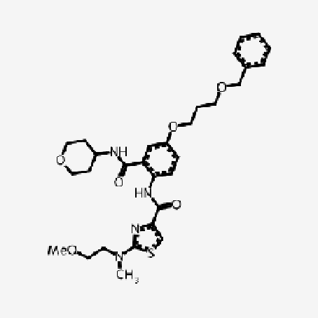 COCCN(C)c1nc(C(=O)Nc2ccc(OCCCOCc3ccccc3)cc2C(=O)NC2CCOCC2)cs1